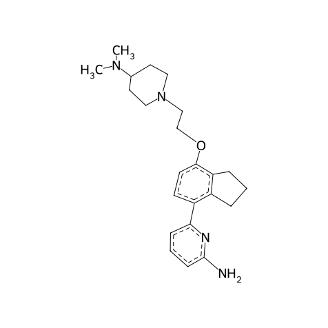 CN(C)C1CCN(CCOc2ccc(-c3cccc(N)n3)c3c2CCC3)CC1